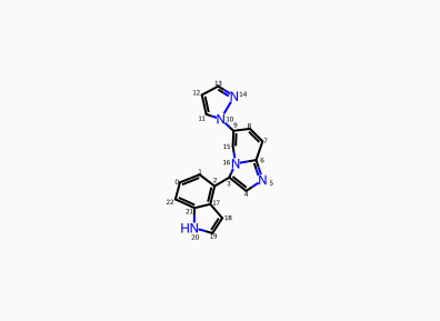 c1cc(-c2cnc3ccc(-n4cccn4)cn23)c2cc[nH]c2c1